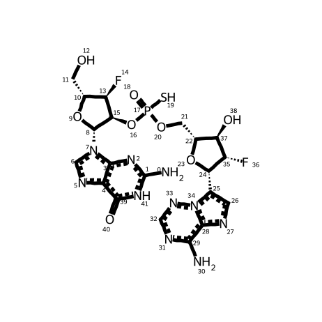 Nc1nc2c(ncn2[C@@H]2O[C@H](CO)[C@@H](F)[C@H]2OP(=O)(S)OC[C@H]2O[C@@H](c3cnc4c(N)ncnn34)[C@@H](F)[C@@H]2O)c(=O)[nH]1